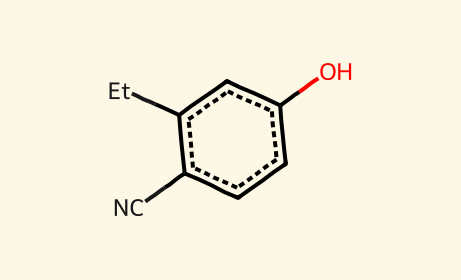 CCc1cc(O)ccc1C#N